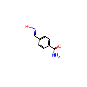 NC(=O)c1ccc(C=NO)cc1